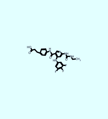 CCNC(=O)Nc1cc(Nc2cc(F)c(F)c(F)c2)c(C(=O)Nc2ccc(CCC(=O)O)cc2)cn1